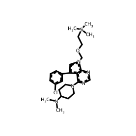 CN(C)C1CCN(c2ncnc3c2c(-c2cccc(Cl)c2)cn3COCC[Si](C)(C)C)CC1